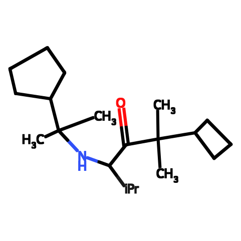 CC(C)C(NC(C)(C)C1CCCC1)C(=O)C(C)(C)C1CCC1